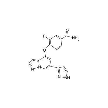 NC(=O)c1ccc(Oc2cc(-c3cc[nH]n3)cn3nccc23)c(F)c1